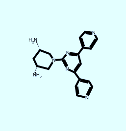 N[C@@H]1C[C@H](N)CN(c2nc(-c3ccncc3)cc(-c3ccncc3)n2)C1